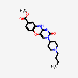 CCCCN1CCC(n2cc3c(nc2=O)Nc2cc(C(=O)OC)ccc2O3)CC1